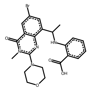 CC(Nc1ccccc1C(=O)O)c1cc(Br)cc2c(=O)n(C)c(N3CCOCC3)nc12